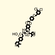 Cc1nccc(-c2ccc(C[C@H](NC(=O)[C@@H]3Cc4cc5c(cc4CN3C(=O)c3cnoc3C)O[C@@H](c3ccc(OCc4ccc(Cl)c(Cl)c4)cc3)CO5)C(=O)O)cc2)c1C